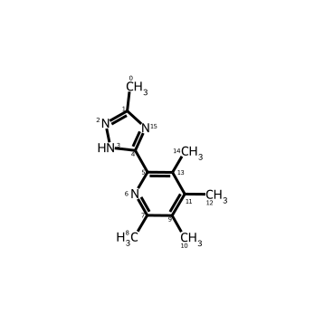 Cc1n[nH]c(-c2nc(C)c(C)c(C)c2C)n1